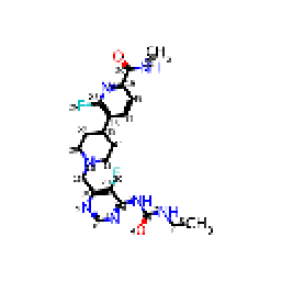 CCNC(=O)Nc1ncnc(CN2CCC(c3ccc(C(=O)NC)nc3F)CC2)c1F